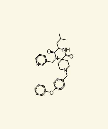 CC(C)CC1NC(=O)C2(CCN(Cc3ccc(Oc4ccccc4)cc3)CC2)N(Cc2cccnc2)C1=O